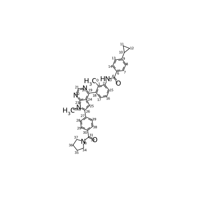 Cc1c(NC(=O)c2ccc(C3CC3)cc2)cccc1-c1ncnc2c1cc(-c1ccc(C(=O)N3CCCC3)cc1)n2C